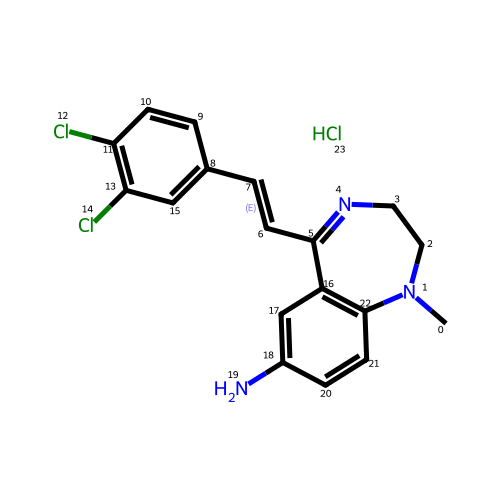 CN1CCN=C(/C=C/c2ccc(Cl)c(Cl)c2)c2cc(N)ccc21.Cl